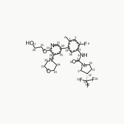 Cc1cc(F)c(NC(=O)N2CC[C@H](C(F)(F)F)C2)cc1-c1cnc(OCCO)c(N2CCOCC2)c1